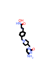 Nc1ccn(CC2CCN(Cc3ccc(/C=C/C(=O)NO)cc3)CC2)c(=O)n1